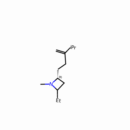 C=C(CC[C@@H]1CC(CC)N1C)C(C)C